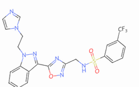 O=S(=O)(NCc1noc(-c2nn(CCn3ccnc3)c3ccccc23)n1)c1cccc(C(F)(F)F)c1